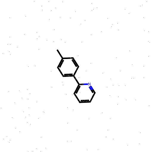 Cc1ccc(-c2ccccn2)cc1